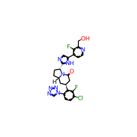 O=C1C[C@@H](c2c(-n3cnnn3)ccc(Cl)c2F)C[C@@H]2CC[C@H](c3ncc(-c4ccnc(CO)c4F)[nH]3)N12